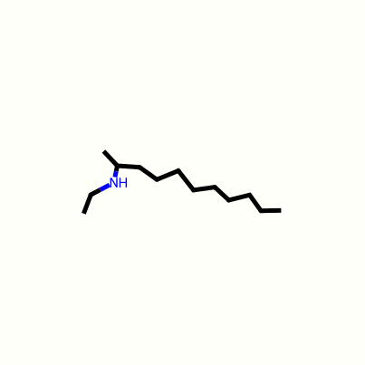 CCCCCCCCCC(C)NCC